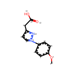 COc1ccc(-n2ccc(CC(=O)O)n2)cc1